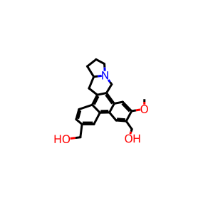 COc1cc2c3c(c4ccc(CO)cc4c2cc1CO)CC1CCCN1C3